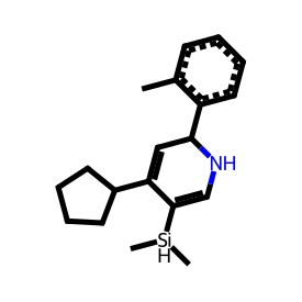 Cc1ccccc1C1C=C(C2CCCC2)C([SiH](C)C)=CN1